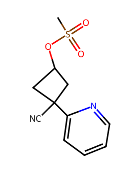 CS(=O)(=O)OC1CC(C#N)(c2ccccn2)C1